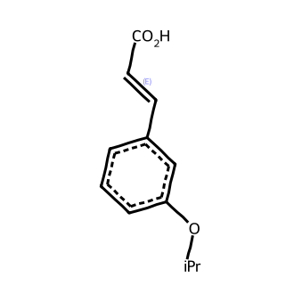 CC(C)Oc1cccc(/C=C/C(=O)O)c1